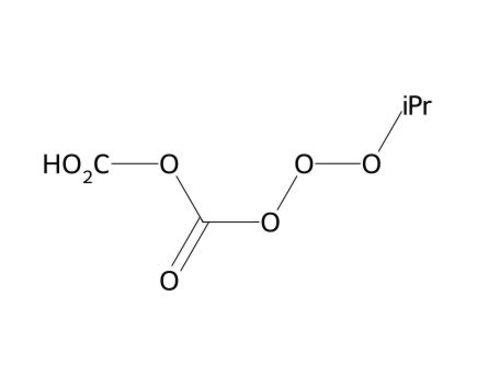 CC(C)OOOC(=O)OC(=O)O